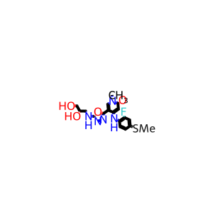 CSc1ccc(Nc2cc(=O)n(C)cc2-c2nnc(NCC(O)CO)o2)c(F)c1